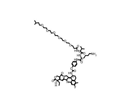 CC[C@@]1(O)C(=O)OCc2c1cc1n(c2=O)Cc2c-1nc1cc(F)c(C)c3c1c2[C@@H](NC(=O)Oc1ccc(NC(=O)[C@H](CCCCN)NC(=O)[C@@H](NC(=O)CCOCCOCCOCCOCCOCCOCCC(C)C)C(C)C)cc1)CC3